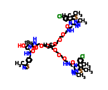 Cc1ncsc1-c1ccc(CNC(=O)[C@@H]2C[C@@H](O)CN2C(=O)[C@@H](NC(=O)COCCOCC(C)(COCCOCCOCCNC(=O)C[C@@H]2N=C(c3ccc(Cl)cc3)c3c(sc(C)c3C)-n3c(C)nnc32)COCCOCCOCCNC(=O)C[C@@H]2N=C(c3ccc(Cl)cc3)c3c(sc(C)c3C)-n3c(C)nnc32)C(C)(C)C)cc1